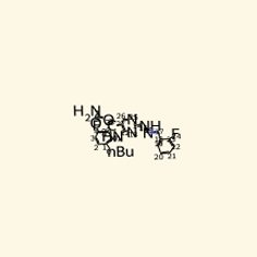 CCCCc1ccc(OC(N)=O)cc1Nc1nc(N/N=C/c2ccccc2F)ncc1C(F)(F)F